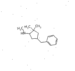 CNC1CC(Cc2ccccc2)CC1(C)C